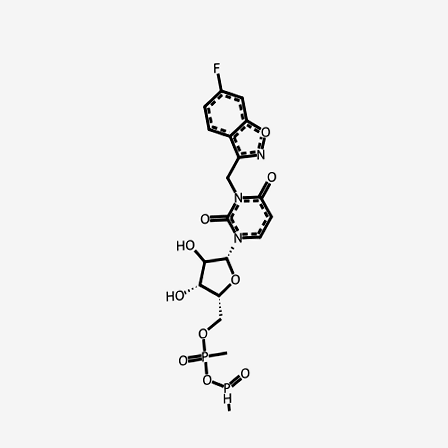 C[PH](=O)OP(C)(=O)OC[C@H]1O[C@@H](n2ccc(=O)n(Cc3noc4cc(F)ccc34)c2=O)C(O)[C@H]1O